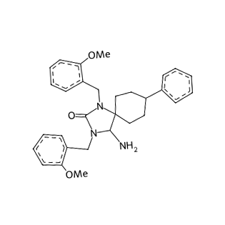 COc1ccccc1CN1C(=O)N(Cc2ccccc2OC)C2(CCC(c3ccccc3)CC2)C1N